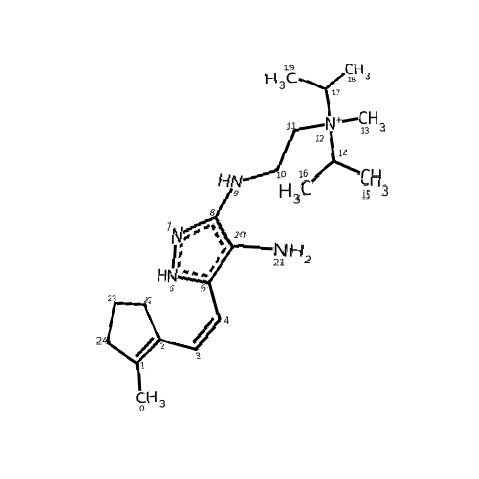 CC1=C(/C=C\c2[nH]nc(NCC[N+](C)(C(C)C)C(C)C)c2N)CCC1